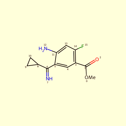 COC(=O)c1cc(C(=N)C2CC2)c(N)cc1F